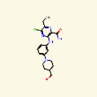 CCc1nc(C(N)=O)c(Nc2cccc(N3CCC(CO)CC3)c2)nc1Cl